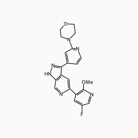 COc1ncc(F)cc1-c1cc2c(-c3ccnc(N4CCOCC4)c3)n[nH]c2cn1